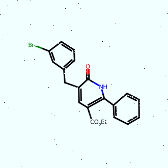 CCOC(=O)c1cc(Cc2cccc(Br)c2)c(=O)[nH]c1-c1ccccc1